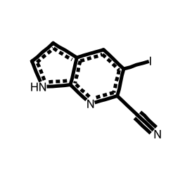 N#Cc1nc2[nH]ccc2cc1I